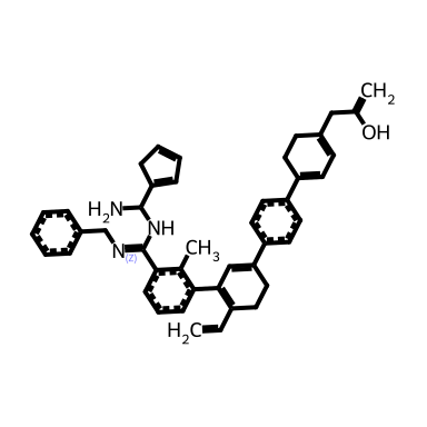 C=CC1=C(c2cccc(/C(=N/Cc3ccccc3)NC(N)C3=CC=CC3)c2C)C=C(c2ccc(C3=CC=C(CC(=C)O)CC3)cc2)CC1